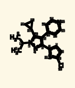 CC(C)n1nc(-c2ccc(Cl)s2)c(-c2ccncc2)c1C1CC1